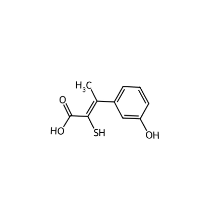 CC(=C(S)C(=O)O)c1cccc(O)c1